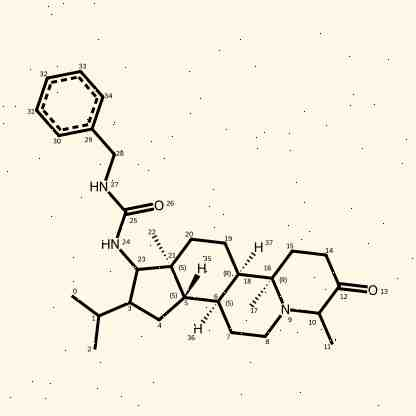 CC(C)C1C[C@H]2[C@@H]3CCN4C(C)C(=O)CC[C@]4(C)[C@@H]3CC[C@]2(C)C1NC(=O)NCc1ccccc1